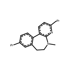 CC(C)c1ccc2c(c1)CCN(C)c1nc(C(C)C)ccc1-2